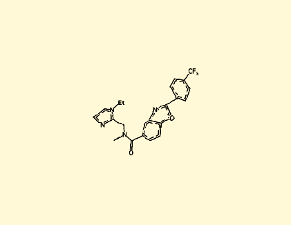 CCn1ccnc1CN(C)C(=O)c1ccc2oc(-c3ccc(C(F)(F)F)cc3)nc2c1